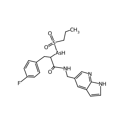 CCCS(=O)(=O)[AsH]C(Cc1ccc(F)cc1)C(=O)NCc1cnc2[nH]ccc2c1